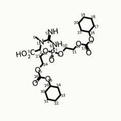 CN(CC(=O)O)C(=N)NP(=O)(OCCOC(=O)OC1CCCCC1)OCCOC(=O)OC1CCCCC1